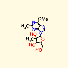 COc1nc(C)nc2c1ncn2C1OC(CO)C(O)C1(C)O